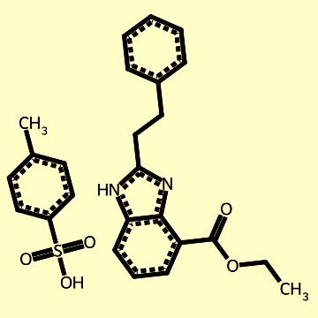 CCOC(=O)c1cccc2[nH]c(CCc3ccccc3)nc12.Cc1ccc(S(=O)(=O)O)cc1